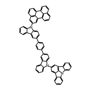 c1cc2cccc3c4cc(-n5c6ccccc6c6cc(-c7ccc(-c8ccc9c(c8)c8ccccc8n9-c8cc9c%10ccccc%10n%10c%11ccccc%11c(c8)c9%10)cc7)ccc65)cc5cccc(c(c1)c23)c54